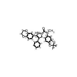 CN(C(=O)N1CC(c2ccccc2)=C(c2ccc3c(c2)OCCO3)N1)c1ccc2c(c1)OC(F)(F)O2